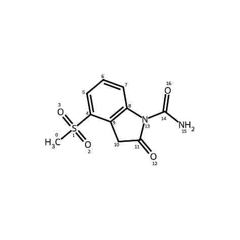 CS(=O)(=O)c1cccc2c1CC(=O)N2C(N)=O